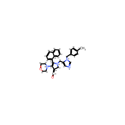 Cc1ccc(Cn2cncc2CN2CC(=C=O)C(N3CCOCC3)=C2c2cccc3ccccc23)cc1